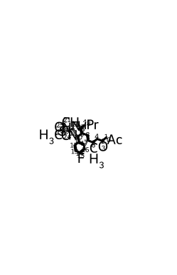 CC(=O)CC(=O)C[C@H](C)/C=C/c1c(-c2ccc(F)cc2)nc(N(C)S(C)(=O)=O)nc1C(C)C